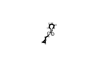 O=C(OCCC1CC1)N1CCCCC1